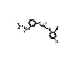 CC(C)O[C@H](C)Cc1cccc(OC[C@H](F)COc2ccc(Cl)cc2C#N)c1